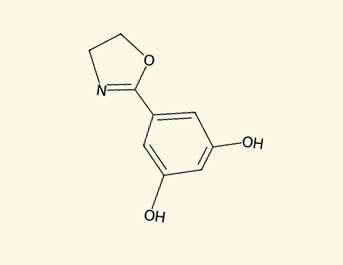 Oc1cc(O)cc(C2=NCCO2)c1